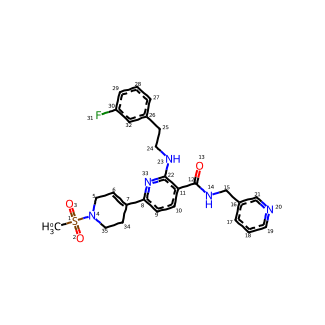 CS(=O)(=O)N1CC=C(c2ccc(C(=O)NCc3cccnc3)c(NCCc3cccc(F)c3)n2)CC1